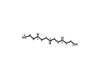 SCCNCCNCCNCCS